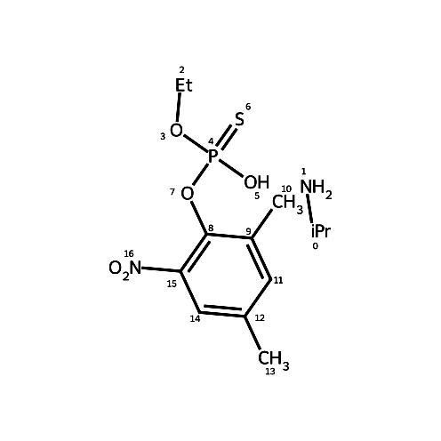 CC(C)N.CCOP(O)(=S)Oc1c(C)cc(C)cc1[N+](=O)[O-]